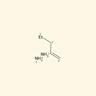 C=CCCC.N.N